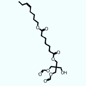 CC/C=C\CCCCOC(=O)CCCCCC(=O)OCC(CO)(COC=O)COC=O